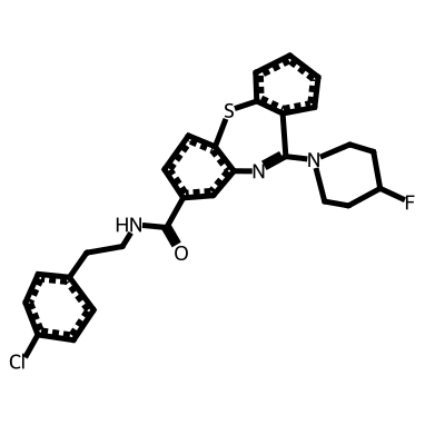 O=C(NCCc1ccc(Cl)cc1)c1ccc2c(c1)N=C(N1CCC(F)CC1)c1ccccc1S2